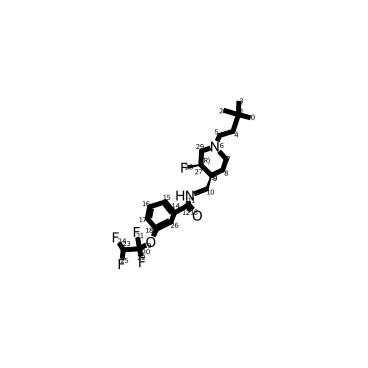 CC(C)(C)CCN1CC[C@@H](CNC(=O)c2cccc(OC(F)(F)C(F)F)c2)[C@@H](F)C1